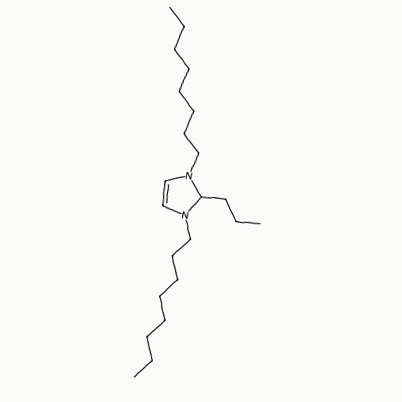 CCCCCCCCN1C=CN(CCCCCCCC)C1CCC